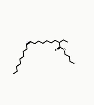 CCCCCCCC/C=C\CCCCCCC(CC)C(=O)OCCCC